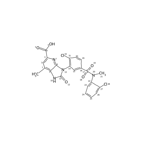 Cc1cc(C(=O)O)nc2c1[nH]c(=O)n2-c1cc(S(=O)(=O)N(C)c2ccccc2Cl)ccc1Cl